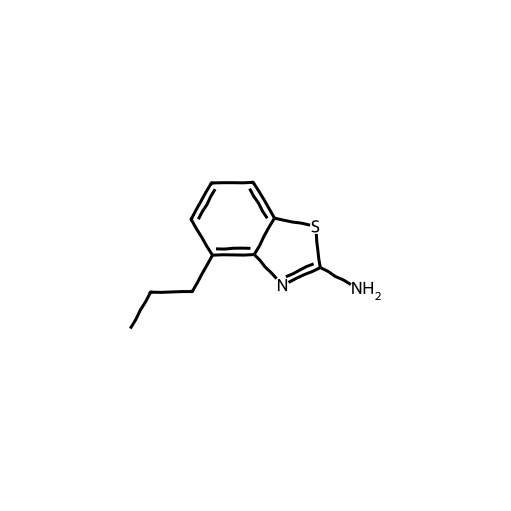 CCCc1cccc2sc(N)nc12